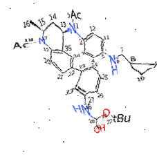 CC(=O)N(c1ccc(NCC2CC2)cc1)[C@@H]1C[C@H](C)N(C(C)=O)c2ccc(-c3cccc(NC(O)OC(C)(C)C)c3)cc21